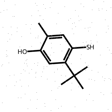 Cc1cc(S)c(C(C)(C)C)cc1O